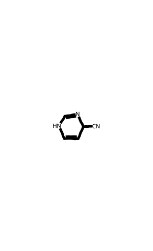 N#C[C]1C=CNC=N1